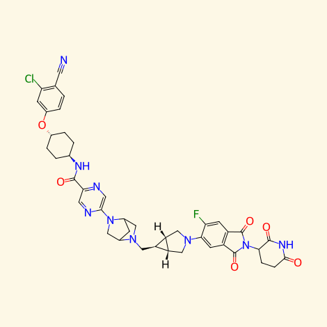 N#Cc1ccc(O[C@H]2CC[C@H](NC(=O)c3cnc(N4CC5CC4CN5C[C@H]4[C@@H]5CN(c6cc7c(cc6F)C(=O)N(C6CCC(=O)NC6=O)C7=O)C[C@@H]54)cn3)CC2)cc1Cl